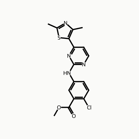 COC(=O)c1cc(Nc2nccc(-c3sc(C)nc3C)n2)ccc1Cl